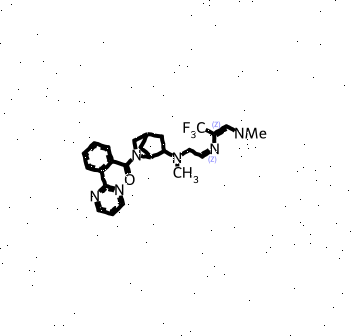 CN/C=C(\N=C/CN(C)C1CC2CC1N(C(=O)c1ccccc1-c1ncccn1)C2)C(F)(F)F